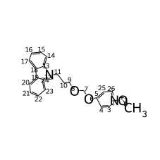 CO[n+]1ccc(OCOCCCn2c3ccccc3c3ccccc32)cc1